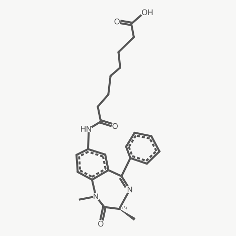 C[C@@H]1N=C(c2ccccc2)c2cc(NC(=O)CCCCCCC(=O)O)ccc2N(C)C1=O